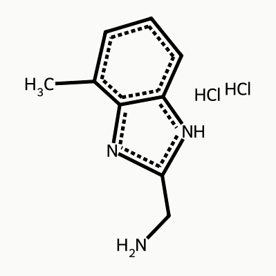 Cc1cccc2[nH]c(CN)nc12.Cl.Cl